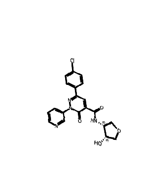 O=C(N[C@@H]1COC[C@@H]1O)c1cc(-c2ccc(Cl)cc2)nn(-c2cccnc2)c1=O